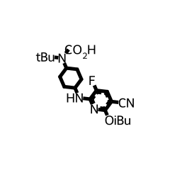 CC(C)COc1nc(NC2CCC(N(C(=O)O)C(C)(C)C)CC2)c(F)cc1C#N